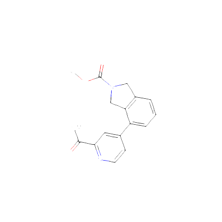 COC(=O)c1cc(-c2cccc3c2CN(C(=O)OC(C)(C)C)C3)ccn1